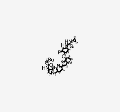 CC(C)(C)OC(=O)N[C@H]1CCN(Cc2ccc(-c3cc4nccc(Oc5ccc(NC(=O)NC6CC6)cc5F)c4s3)nc2)C1=O